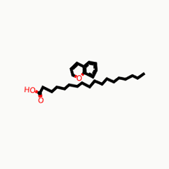 C1=Cc2ccccc2OC1.CCCCCCCCCCCCCCCCCC(=O)O